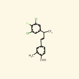 Cc1cc(/C=C/C(c2cc(Cl)c(F)c(Cl)c2)C(F)(F)F)ccc1C=O